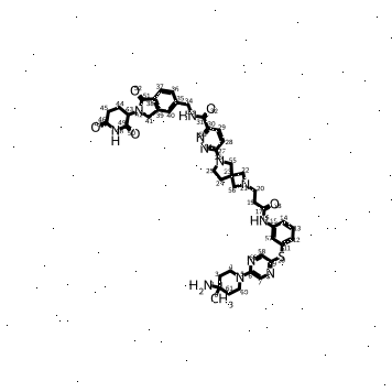 CC1(N)CCN(c2cnc(Sc3cccc(NC(=O)CCN4CC5(CCN(c6ccc(C(=O)NCc7ccc8c(c7)CN(C7CCC(=O)NC7=O)C8=O)nn6)C5)C4)c3)cn2)CC1